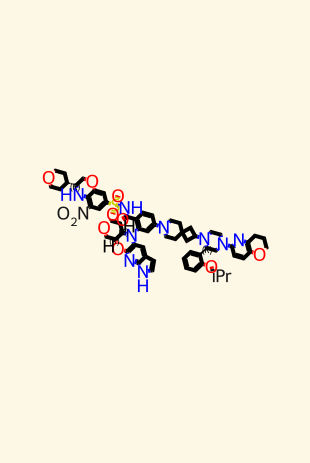 CC(C)Oc1ccccc1[C@@H]1CN(c2ccc3c(n2)CCCO3)CCN1C1CC2(CCN(c3ccc(C(=O)NS(=O)(=O)c4cc5c(c([N+](=O)[O-])c4)N[C@H](C4CCOCC4)CO5)c(N4c5cc6cc[nH]c6nc5O[C@H]5COCC[C@@H]54)c3)CC2)C1